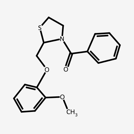 COc1ccccc1OCC1SCCN1C(=O)c1ccccc1